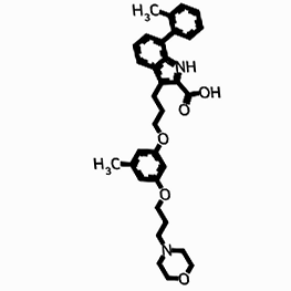 Cc1cc(OCCCc2c(C(=O)O)[nH]c3c(-c4ccccc4C)cccc23)cc(OCCCN2CCOCC2)c1